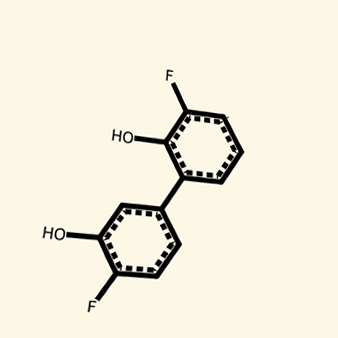 Oc1cc(-c2cc[c]c(F)c2O)ccc1F